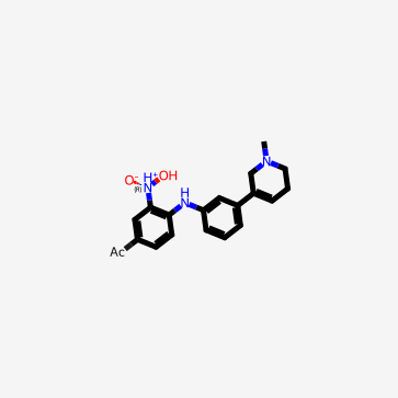 CC(=O)c1ccc(Nc2cccc(C3=CCCN(C)C3)c2)c([N@H+]([O-])O)c1